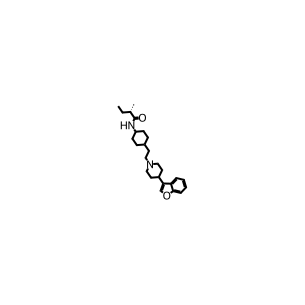 CC[C@H](C)C(=O)NC1CCC(CCN2CCC(c3coc4ccccc34)CC2)CC1